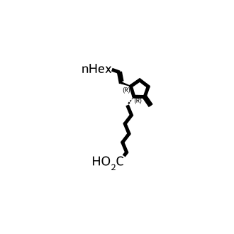 C=C1CC[C@H](C=CCCCCCC)[C@H]1CCCCCCC(=O)O